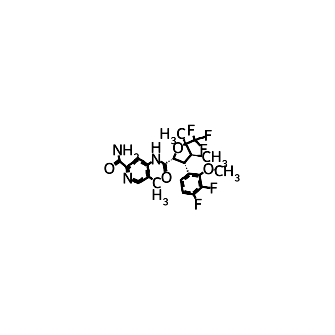 COc1c([C@@H]2[C@H](C(=O)Nc3cc(C(N)=O)ncc3C)O[C@](C)(C(F)(F)F)[C@H]2C)ccc(F)c1F